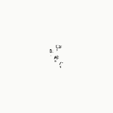 [Al].[B].[Ca].[Zr]